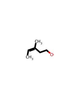 CC=C(C)CC[O]